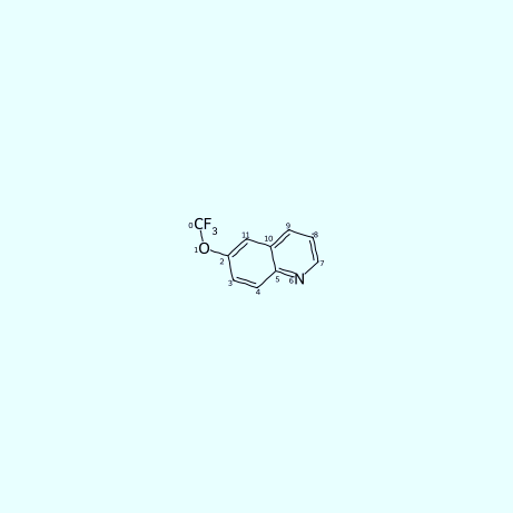 FC(F)(F)Oc1ccc2nc[c]cc2c1